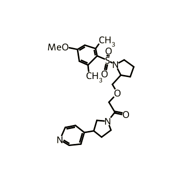 COc1cc(C)c(S(=O)(=O)N2CCCC2COCC(=O)N2CCC(c3ccncc3)C2)c(C)c1